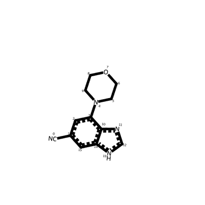 N#Cc1cc(N2CCOCC2)c2nc[nH]c2c1